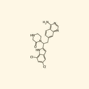 Nc1ncnc2cc(CC(c3cc4cc(Cl)cc(Cl)c4[nH]3)N3CCNCC3=O)ccc12